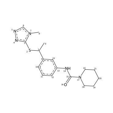 CC(Sc1nncn1C)c1cccc(NC(=O)N2CCCCC2)c1